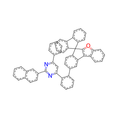 c1ccc(-c2cc(-c3ccccc3-c3ccc4c(c3)-c3c(oc5ccccc35)C43c4ccccc4-c4ccccc43)nc(-c3ccc4ccccc4c3)n2)cc1